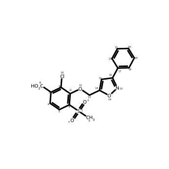 CS(=O)(=O)c1ccc(C(=O)O)c(Cl)c1OCc1cc(-c2ccccc2)no1